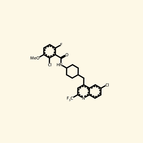 COc1ccc(F)c(C(=O)NC2CCC(Cc3cc(C(F)(F)F)nc4ccc(Cl)cc34)CC2)c1Cl